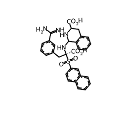 N=C(N)c1cccc(C[C@](NC2NC(C(=O)O)Cc3ccccc32)(C(=O)O)S(=O)(=O)c2ccc3ccccc3c2)c1